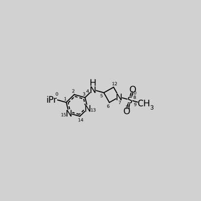 CC(C)c1cc(NC2CN(S(C)(=O)=O)C2)ncn1